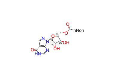 CCCCCCCCCC(=O)OC[C@H]1O[C@@H](n2ncc3c(=O)[nH]cnc32)[C@H](O)[C@@H]1O